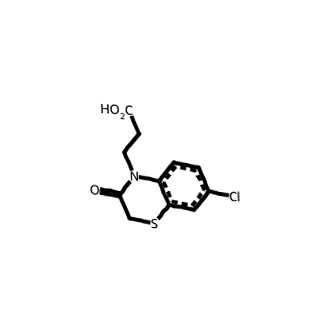 O=C(O)CCN1C(=O)CSc2cc(Cl)ccc21